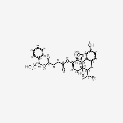 CCN(C)[C@@H]1Cc2ccc(O)c3c2[C@@]2(C)[C@@H](O3)C(OC(=O)CCC(=O)O[C@H](C(=O)O)c3ccccc3)=CC[C@@]12O